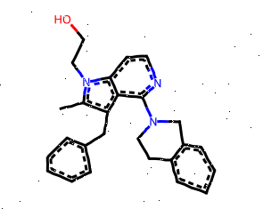 Cc1c(Cc2ccccc2)c2c(N3CCc4ccccc4C3)nccc2n1CCO